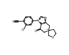 N#Cc1ccc(-n2cnc3c2C(=O)C[C@]2(CCOC2)C3)cc1Cl